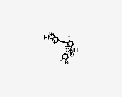 O=S(=O)(Nc1ccc(F)c(C#Cc2cnc3[nH]ncc3c2)c1F)c1ccc(F)c(Br)c1